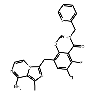 Cc1nc(Cc2cc(Cl)c(F)c(C(=O)NCc3ccccn3)c2OC(C)C)n2ccnc(N)c12